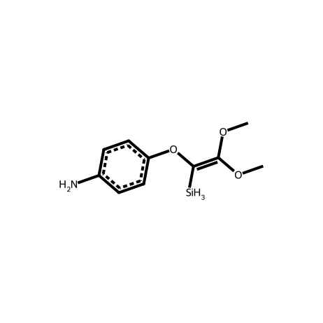 COC(OC)=C([SiH3])Oc1ccc(N)cc1